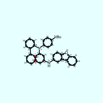 CC(C)(C)c1ccc(N(c2cccc(Nc3ccc4oc5ccccc5c4c3)c2)c2ccccc2-c2ccccc2)cc1